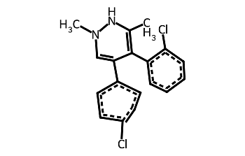 CC1=C(c2ccccc2Cl)C(c2ccc(Cl)cc2)=CN(C)N1